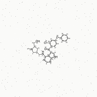 CN1CC(CNc2ncnc3[nH]cc(C(=O)c4ccc(Oc5ccccc5)cc4Cl)c23)CC1CO